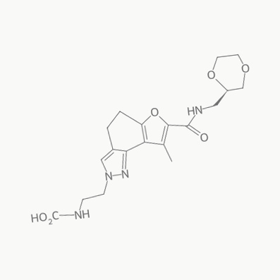 Cc1c(C(=O)NC[C@@H]2COCCO2)oc2c1-c1nn(CCNC(=O)O)cc1CC2